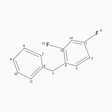 Fc1ccc(Cc2[c]cccc2)c(F)c1